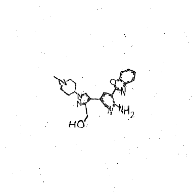 CN1CCC(n2cc(-c3cnc(N)c(-c4nc5ccccc5o4)c3)c(CO)n2)CC1